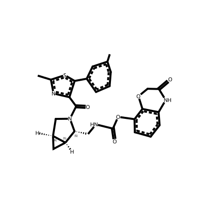 Cc1cccc(-c2sc(C)nc2C(=O)N2C[C@@H]3C[C@@H]3[C@H]2CNC(=O)Oc2cccc3c2OCC(=O)N3)c1